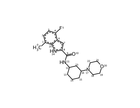 Cc1ccc(F)c2cc(C(=O)NC3CCCC(N4CCOCC4)C3)[nH]c12